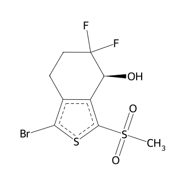 CS(=O)(=O)c1sc(Br)c2c1[C@H](O)C(F)(F)CC2